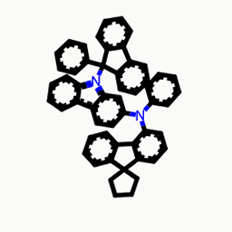 c1ccc(N(c2ccc3c4ccccc4n(C4(c5ccccc5)c5ccccc5-c5ccccc54)c3c2)c2cccc3c2-c2ccccc2C32CCCC2)cc1